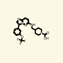 O=C(O)N1CCC(CNc2ccc3ncc(-c4cccc(OC(F)(F)F)c4)n3n2)CC1